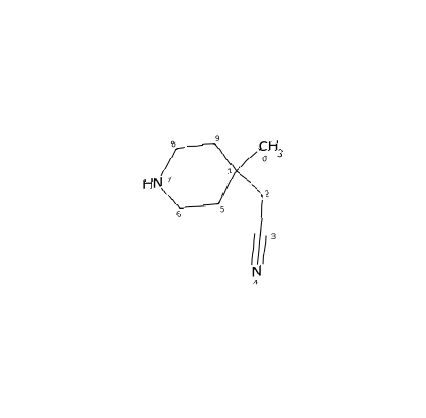 CC1(CC#N)CCNCC1